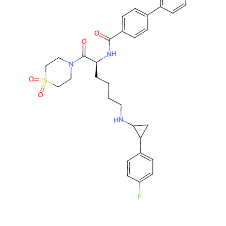 O=C(N[C@@H](CCCCNC1CC1c1ccc(F)cc1)C(=O)N1CCS(=O)(=O)CC1)c1ccc(-c2ccc(F)cc2)cc1